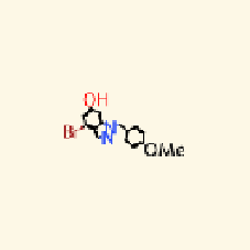 COC1=CCC(Cn2ncc3c(Br)cc(O)cc32)C=C1